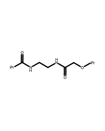 CC(C)OCC(=O)NCCNC(=O)C(C)C